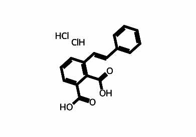 Cl.Cl.O=C(O)c1cccc(C=Cc2ccccc2)c1C(=O)O